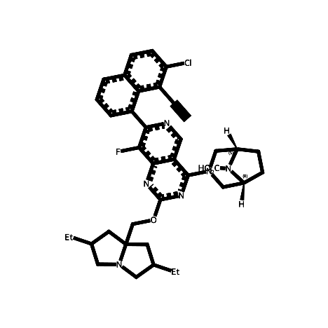 C#Cc1c(Cl)ccc2cccc(-c3ncc4c(N5C[C@H]6CC[C@@H](C5)N6C(=O)O)nc(OCC56CC(CC)CN5CC(CC)C6)nc4c3F)c12